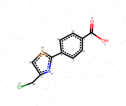 O=C(O)c1ccc(-c2nc(CCl)cs2)cc1